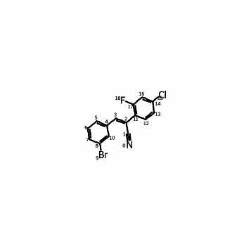 N#CC(=Cc1cccc(Br)c1)c1ccc(Cl)cc1F